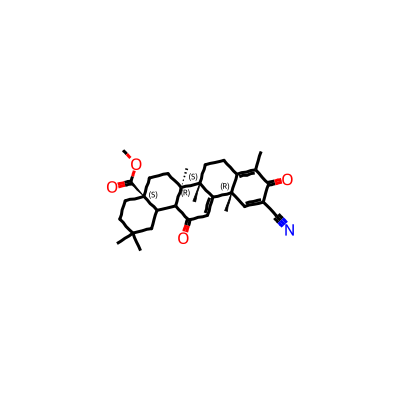 COC(=O)[C@]12CCC(C)(C)CC1C1C(=O)C=C3[C@@]4(C)C=C(C#N)C(=O)C(C)=C4CC[C@@]3(C)[C@]1(C)CC2